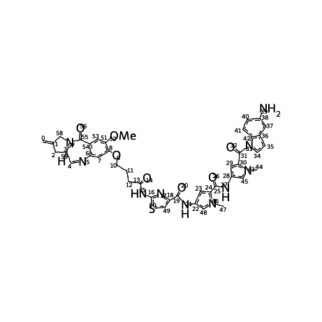 C=C1C[C@H]2C=Nc3cc(OCCCC(=O)Nc4nc(C(=O)Nc5cc(C(=O)Nc6cc(C(=O)n7ccc8cc(N)ccc87)n(C)c6)n(C)c5)cs4)c(OC)cc3C(=O)N2C1